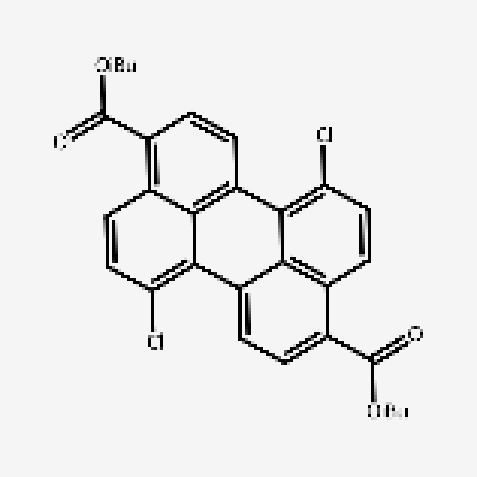 CC(C)COC(=O)c1ccc2c3c(Cl)ccc4c(C(=O)OCC(C)C)ccc(c5c(Cl)ccc1c25)c43